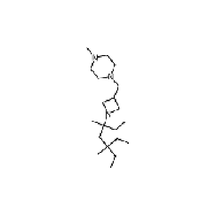 CCC(C)(CC)CC(C)(CC)N1CC(CN2CCN(C)CC2)C1